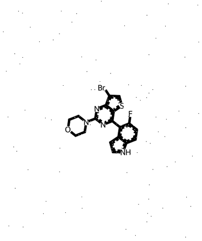 Fc1ccc2[nH]ccc2c1-c1nc(N2CCOCC2)nc2c(Br)csc12